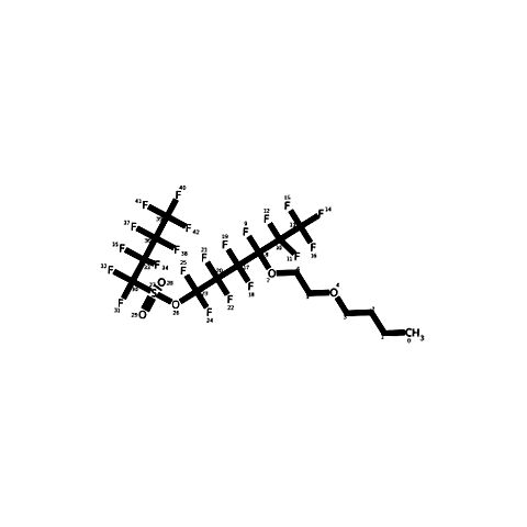 CCCCOCCOC(F)(C(F)(F)C(F)(F)F)C(F)(F)C(F)(F)C(F)(F)OS(=O)(=O)C(F)(F)C(F)(F)C(F)(F)C(F)(F)F